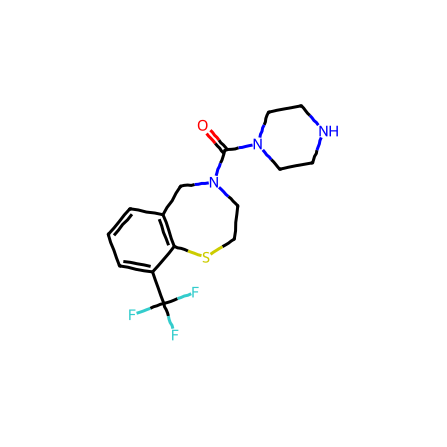 O=C(N1CCNCC1)N1CCSc2c(cccc2C(F)(F)F)C1